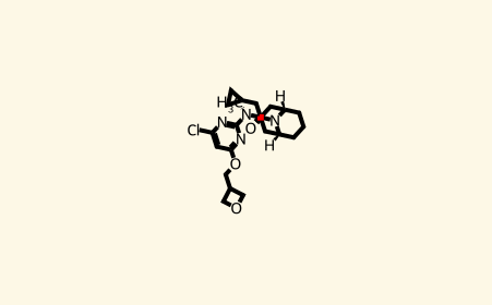 CN(c1nc(Cl)cc(OCC2COC2)n1)C1C[C@H]2CCC[C@@H](C1)N2C(=O)CC1CC1